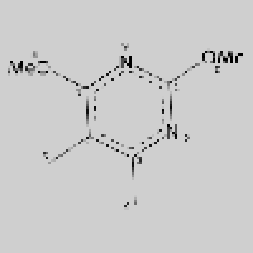 COc1nc(C)c(C)c(OC)n1